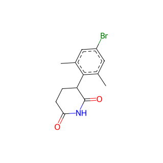 Cc1cc(Br)cc(C)c1C1CCC(=O)NC1=O